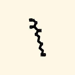 CC(C)(C)OC(=O)NOCCOCCN=O